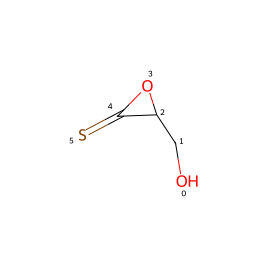 OCC1OC1=S